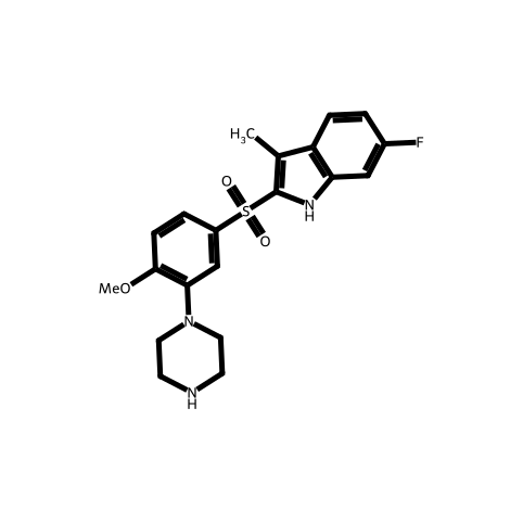 COc1ccc(S(=O)(=O)c2[nH]c3cc(F)ccc3c2C)cc1N1CCNCC1